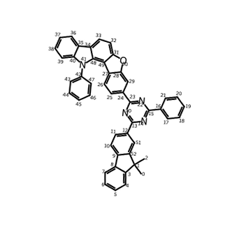 CC1(C)c2ccccc2-c2ccc(-c3nc(-c4ccccc4)nc(-c4ccc5c(c4)oc4ccc6c7ccccc7n(-c7ccccc7)c6c45)n3)cc21